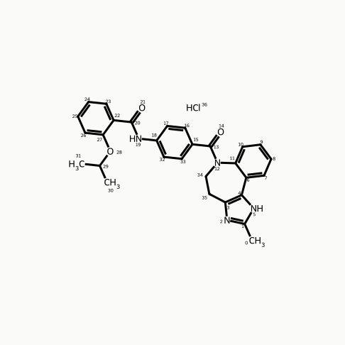 Cc1nc2c([nH]1)-c1ccccc1N(C(=O)c1ccc(NC(=O)c3ccccc3OC(C)C)cc1)CC2.Cl